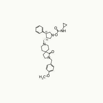 COc1ccc(CN2CCC3(CCN(C[C@H]4CN(OC(=O)NC5CC5)C[C@@H]4c4ccccc4)CC3)C2=O)cc1